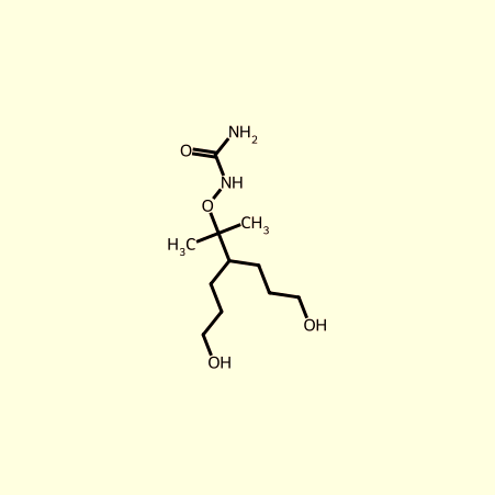 CC(C)(ONC(N)=O)C(CCCO)CCCO